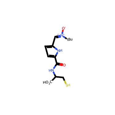 CC(C)(C)/[N+]([O-])=C\c1ccc(C(=O)NC(CS)C(=O)O)[nH]1